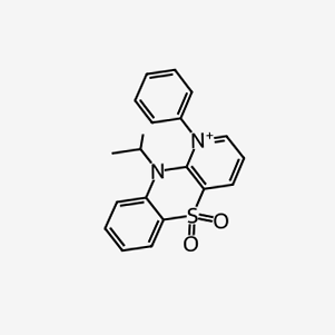 CC(C)N1c2ccccc2S(=O)(=O)c2ccc[n+](-c3ccccc3)c21